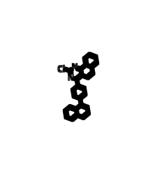 Clc1nc(-c2ccc(-c3cccc4ccccc34)cc2)c2ccc3ccccc3c2n1